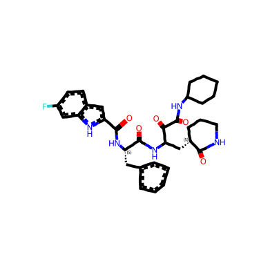 O=C(NC1CCCCC1)C(=O)C(C[C@@H]1CCCNC1=O)NC(=O)[C@H](Cc1ccccc1)NC(=O)c1cc2ccc(F)cc2[nH]1